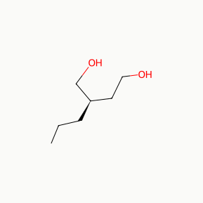 CCC[C@@H](CO)CCO